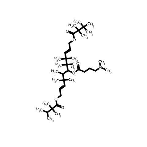 CC(C(OC(=O)CCCN(C)C)C(C)(C)C(C)(C)/C=C/COC(=O)C(C)(C)C(C)(C)C)C(C)(C)/C=C/COC(=O)C(C)(C)C(C)C